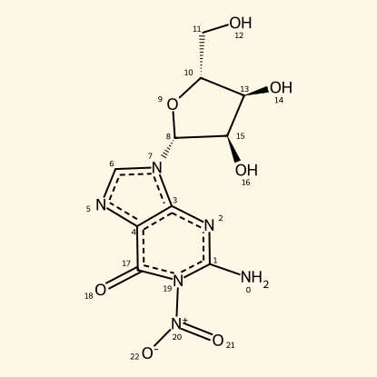 Nc1nc2c(ncn2[C@@H]2O[C@H](CO)[C@@H](O)[C@H]2O)c(=O)n1[N+](=O)[O-]